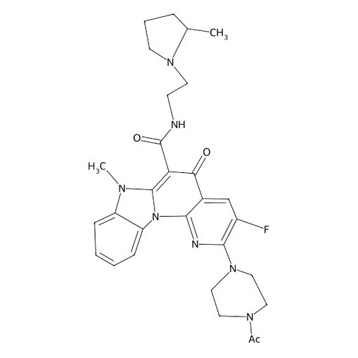 CC(=O)N1CCN(c2nc3c(cc2F)c(=O)c(C(=O)NCCN2CCCC2C)c2n(C)c4ccccc4n32)CC1